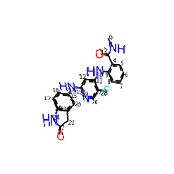 CNC(=O)c1ccccc1Nc1cc(Nc2ccc3c(c2)CC(=O)N3)ncc1F